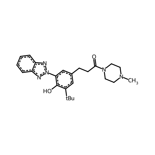 CN1CCN(C(=O)CCc2cc(-n3nc4ccccc4n3)c(O)c(C(C)(C)C)c2)CC1